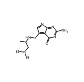 CCN(CC)CC(C)NCC1=C2C(=O)N=C(N)N=C2N=C1